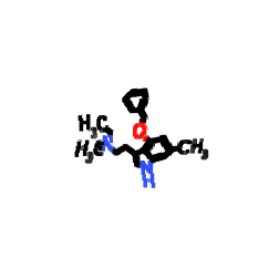 CCN(C)CCc1c[nH]c2cc(C)cc(OCc3ccccc3)c12